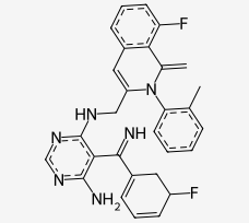 C=C1c2c(F)cccc2C=C(CNc2ncnc(N)c2C(=N)C2=CC=CC(F)C2)N1c1ccccc1C